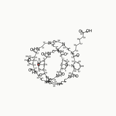 COc1c2cccc1C(=O)NCCN1CCNC(=O)c3cccc(c3OC)C(=O)NCCN(CCNC2=O)CCN2CCNC(=O)c3cccc(n3)C(=O)N(CCCCCC(=O)O)CCN(CCNC(=O)c3cccc(c3OC)C(=O)NCC2)CC1